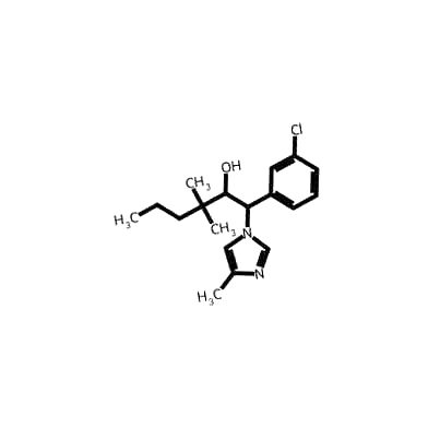 CCCC(C)(C)C(O)C(c1cccc(Cl)c1)n1cnc(C)c1